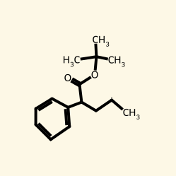 C[CH]CC(C(=O)OC(C)(C)C)c1ccccc1